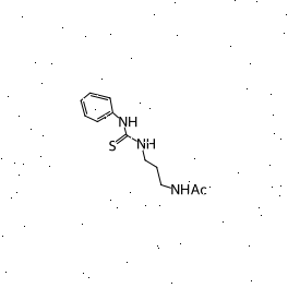 CC(=O)NCCCNC(=S)Nc1ccccc1